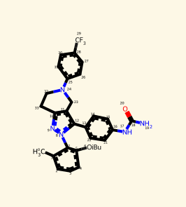 Cc1cccc(OCC(C)C)c1-n1nc2c(c1-c1ccc(NC(N)=O)cc1)CN(c1ccc(C(F)(F)F)cc1)CC2